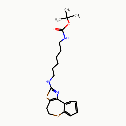 CC(C)(C)OC(=O)NCCCCCCNc1nc2c(s1)CCSc1ccccc1-2